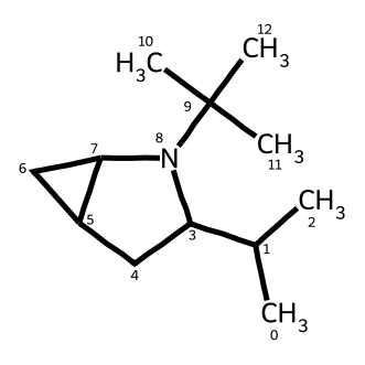 CC(C)C1CC2CC2N1C(C)(C)C